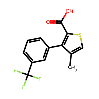 Cc1csc(C(=O)O)c1-c1cccc(C(F)(F)F)c1